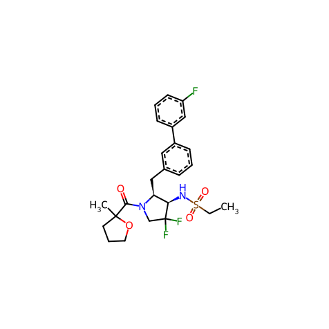 CCS(=O)(=O)N[C@@H]1[C@H](Cc2cccc(-c3cccc(F)c3)c2)N(C(=O)C2(C)CCCO2)CC1(F)F